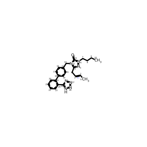 C/C=C/Cc1nn(CCCC)c(=O)n1Cc1ccc(-c2ccccc2-c2nnn[nH]2)cc1